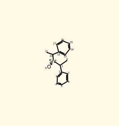 C[CH](c1ccccc1)[Sn](=[O])[CH](C)c1ccccc1